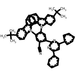 CC(C)(C)c1ccc2c(c1)c1ccccc1n2-c1cc(C#N)c(-c2nc(-c3ccccc3)cc(-c3ccccc3)n2)cc1-n1c2ccccc2c2cc(C(C)(C)C)ccc21